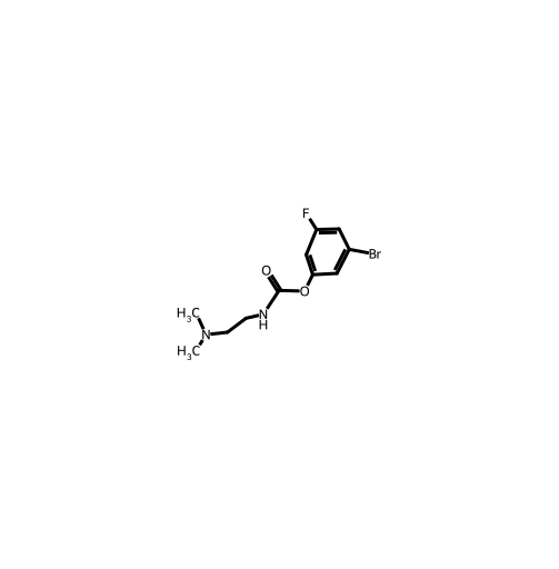 CN(C)CCNC(=O)Oc1cc(F)cc(Br)c1